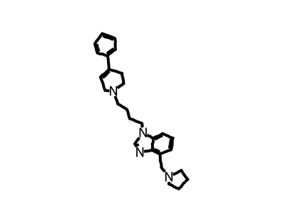 C1=C(c2ccccc2)CCN(CCCCn2cnc3c(CN4CCCC4)cccc32)C1